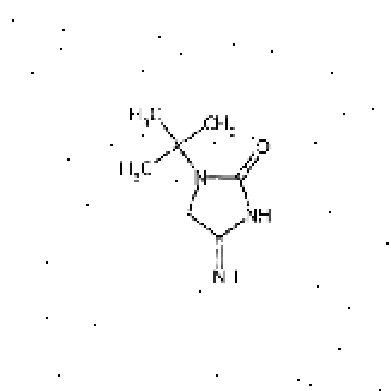 CC(C)(C)N1CC(=N)NC1=O